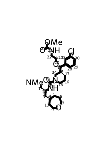 CNC[C@H](C[C@H]1CCCOCC1)NC(=O)N1CCC[C@@H]([C@@H](OCCNC(=O)OC)c2cccc(Cl)c2)C1